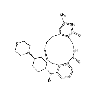 CCN(c1cccc2c1CC=CCCc1cc(C)[nH]c(=O)c1CNC2=O)[C@H]1CC[C@H](N2CCOCC2)CC1